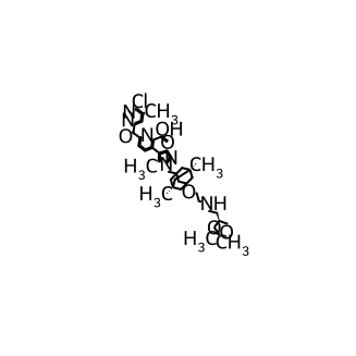 Cc1cc(C(=O)c2ccc(-c3cnn(CC45CC6(OCCNCC[C@H]7COC(C)(C)O7)C[C@](C)(C4)C[C@](C)(C5)C6)c3C)c(C(=O)O)n2)nnc1Cl